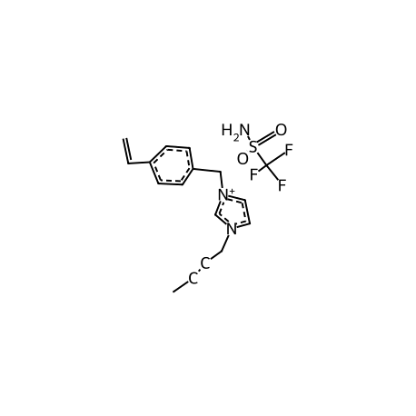 C=Cc1ccc(C[n+]2ccn(CCCC)c2)cc1.NS(=O)(=O)C(F)(F)F